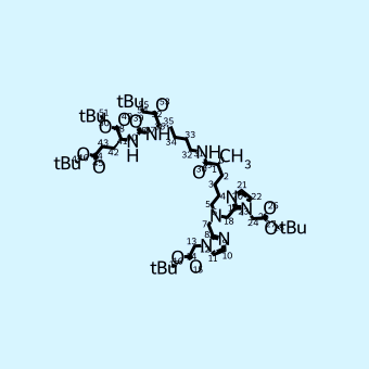 C[C@@H](CCCCN(Cc1nccn1CC(=O)OC(C)(C)C)Cc1nccn1CC(=O)OC(C)(C)C)C(=O)NCCCC[C@H](NC(=O)N[C@@H](CCC(=O)OC(C)(C)C)C(=O)OC(C)(C)C)C(=O)CC(C)(C)C